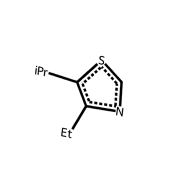 CCc1ncsc1C(C)C